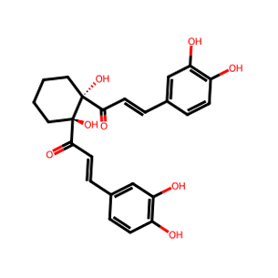 O=C(C=Cc1ccc(O)c(O)c1)[C@]1(O)CCCC[C@@]1(O)C(=O)C=Cc1ccc(O)c(O)c1